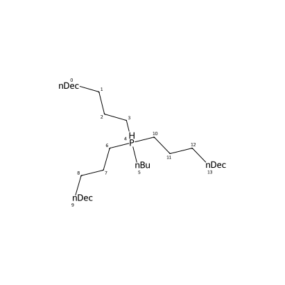 CCCCCCCCCCCCC[PH](CCCC)(CCCCCCCCCCCCC)CCCCCCCCCCCCC